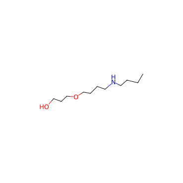 CCCCNCCCCOCCCO